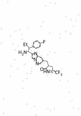 CCC(c1ccc(F)cc1)C(N)c1cn2ncc(CC3C[C@@H](C(F)(F)F)NC3=O)cc2n1